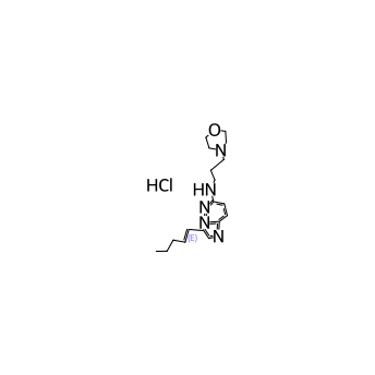 CCC/C=C/c1cnc2ccc(NCCCN3CCOCC3)nn12.Cl